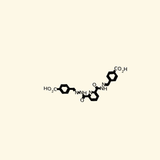 O=C(O)c1ccc(/C=N/NC(=O)c2cccc(C(=O)N/N=C/c3ccc(C(=O)O)cc3)n2)cc1